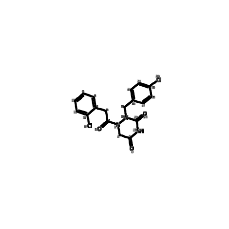 O=C1CN(C(=O)Cc2ccccc2Cl)N(Cc2ccc(Cl)cc2)C(=O)N1